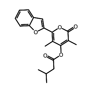 Cc1c(-c2cc3ccccc3o2)oc(=O)c(C)c1OC(=O)CC(C)C